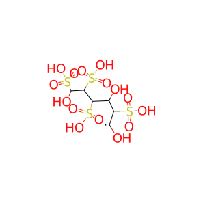 O=S(=O)(O)C(O)C(C(C(O)C([CH]O)S(=O)(=O)O)S(=O)(=O)O)S(=O)(=O)O